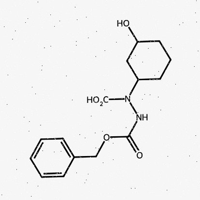 O=C(NN(C(=O)O)C1CCCC(O)C1)OCc1ccccc1